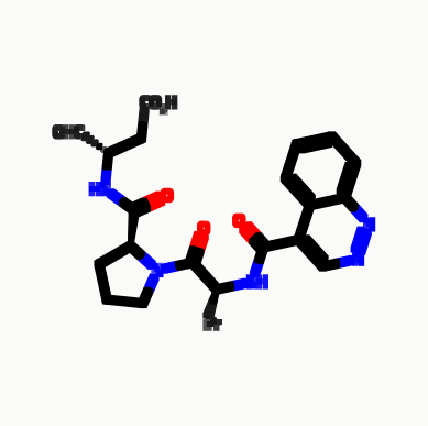 CC(C)[C@H](NC(=O)c1cnnc2ccccc12)C(=O)N1CCC[C@H]1C(=O)N[C@H](C=O)CC(=O)O